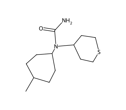 CC1CCC(N(C(N)=O)C2CCSCC2)CC1